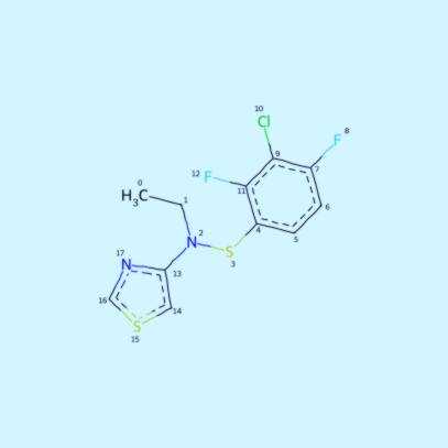 CCN(Sc1ccc(F)c(Cl)c1F)c1cscn1